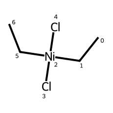 C[CH2][Ni]([Cl])([Cl])[CH2]C